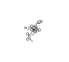 CCOC(=O)[C@H]1CC[C@H](OC(C(=O)OC(C)(C)C)(N2CCCC2)N2CC(CN3CCOCC3)C2)CC1